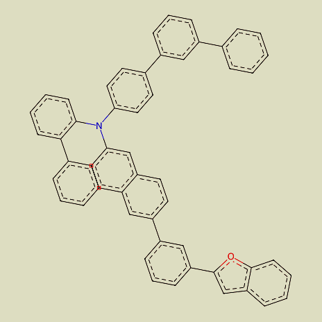 c1ccc(-c2cccc(-c3ccc(N(c4ccc5cc(-c6cccc(-c7cc8ccccc8o7)c6)ccc5c4)c4ccccc4-c4ccccc4)cc3)c2)cc1